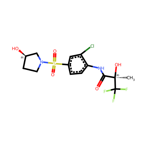 C[C@@](O)(C(=O)Nc1ccc(S(=O)(=O)N2CC[C@@H](O)C2)cc1Cl)C(F)(F)F